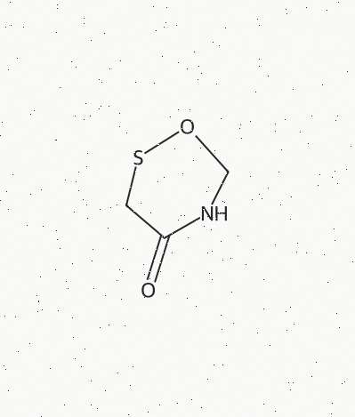 O=C1CSOCN1